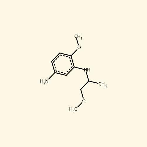 COCC(C)Nc1cc(N)ccc1OC